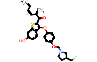 C=C/C=C\C(=C)C(=O)c1sc2cc(O)ccc2c1Oc1ccc(OCN2CCC(CF)C2)cc1